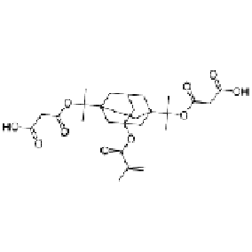 C=C(C)C(=O)OC12CC3CC(C(C)(C)OC(=O)CC(=O)O)(C1)CC(C(C)(C)OC(=O)CC(=O)O)(C3)C2